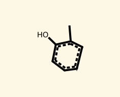 Cc1c[c]ccc1O